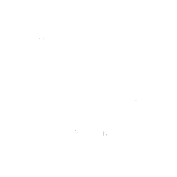 O=CCCCOc1cc(C(F)(F)F)ncn1